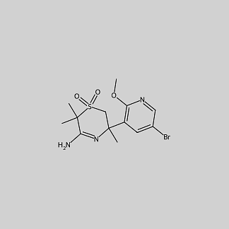 COc1ncc(Br)cc1C1(C)CS(=O)(=O)C(C)(C)C(N)=N1